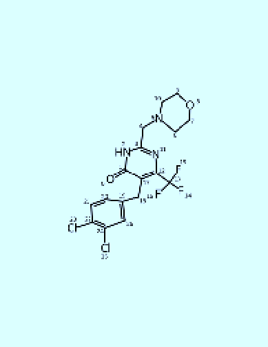 O=c1[nH]c(CN2CCOCC2)nc(C(F)(F)F)c1Cc1ccc(Cl)c(Cl)c1